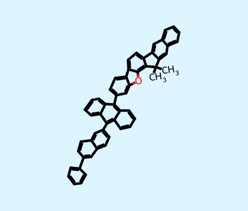 CC1(C)c2cc3ccccc3cc2-c2ccc3c(oc4cc(-c5c6ccccc6c(-c6ccc7cc(-c8ccccc8)ccc7c6)c6ccccc56)ccc43)c21